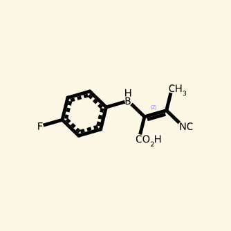 [C-]#[N+]/C(C)=C(/Bc1ccc(F)cc1)C(=O)O